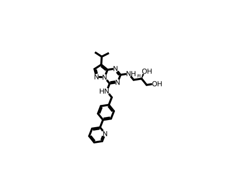 CC(C)c1cnn2c(NCc3ccc(-c4ccccn4)cc3)nc(NC[C@@H](O)CO)nc12